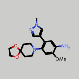 COc1cc(N2CCC3(CC2)OCCO3)c(-c2cnn(C)c2)cc1N